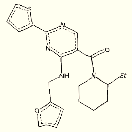 CCC1CCCCN1C(=O)c1cnc(-c2cccs2)nc1NCc1ccco1